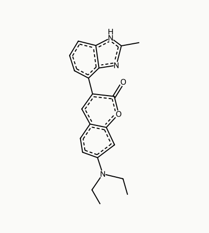 CCN(CC)c1ccc2cc(-c3cccc4[nH]c(C)nc34)c(=O)oc2c1